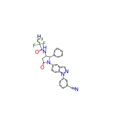 CC(F)(F)C(=O)NC1CC(=O)N(c2ccc3c(cnn3-c3cccc(C#N)c3)c2)C1c1ccccc1